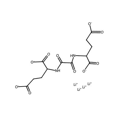 O=C([O-])CCC(NC(=O)C(=O)NC(CCC(=O)[O-])C(=O)[O-])C(=O)[O-].[Li+].[Li+].[Li+].[Li+]